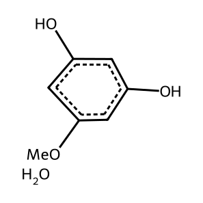 COc1cc(O)cc(O)c1.O